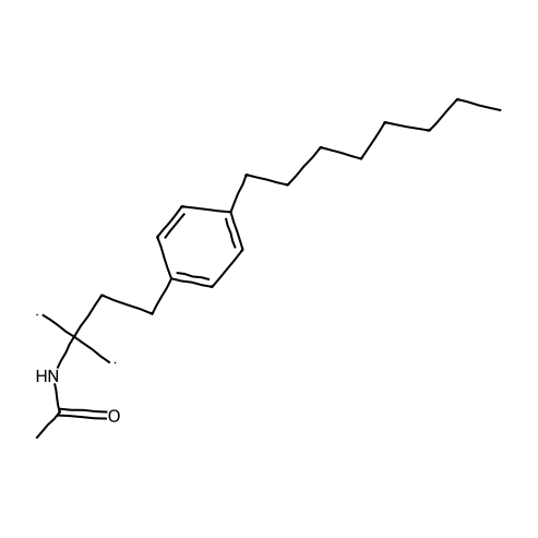 [CH2]C([CH2])(CCc1ccc(CCCCCCCC)cc1)NC(C)=O